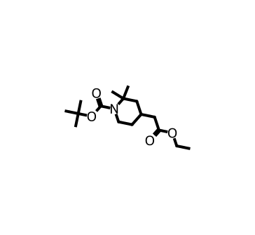 CCOC(=O)CC1CCN(C(=O)OC(C)(C)C)C(C)(C)C1